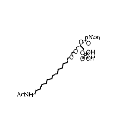 CCCCCCCCCC(=O)O[C@@H](COCOCCCCCCCCCCCCCCNC(C)=O)COP(=O)(O)O